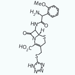 COc1ccccc1C(N)C(=O)NC1C(=O)N2C(C(=O)O)=C(CSc3nnn[nH]3)CS[C@@H]12